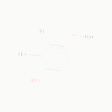 CCc1c(OC(C)(C)C)ccc(O)c1C